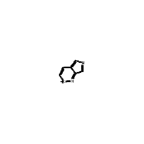 c1cc2cncc-2n[nH]1